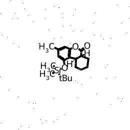 Cc1cc2c(c(O[Si](C)(C)C(C)(C)C)c1)[C@@H]1CCCC[C@H]1C(=O)O2